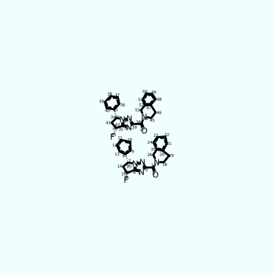 O=C(c1nc2n(n1)[C@@H](c1ccccc1)C[C@H]2F)N1CCc2ccccc2C1.O=C(c1nc2n(n1)[C@@H](c1ccccc1)C[C@H]2F)N1CCc2ccccc2C1